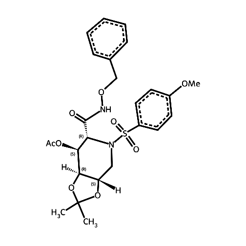 COc1ccc(S(=O)(=O)N2C[C@@H]3OC(C)(C)O[C@H]3[C@@H](OC(C)=O)[C@@H]2C(=O)NOCc2ccccc2)cc1